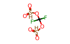 O=[SH](=O)OC(F)(F)O[SH](=O)=O